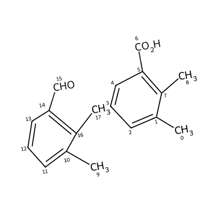 Cc1cccc(C(=O)O)c1C.Cc1cccc(C=O)c1C